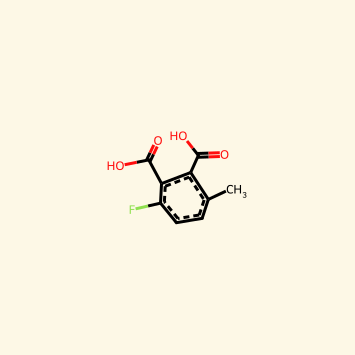 Cc1ccc(F)c(C(=O)O)c1C(=O)O